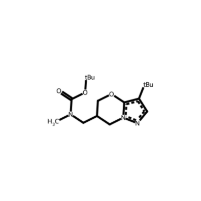 CN(CC1COc2c(C(C)(C)C)cnn2C1)C(=O)OC(C)(C)C